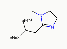 CCCCCCC(CCCCC)CC1=NCCN1C